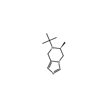 C[C@H]1Cn2cncc2CN1C(C)(C)C